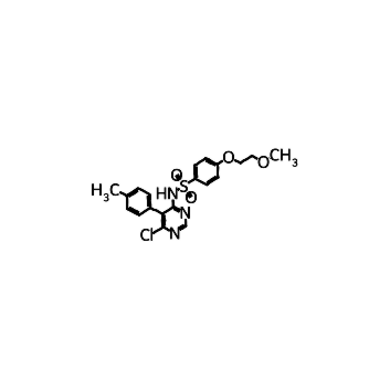 COCCOc1ccc(S(=O)(=O)Nc2ncnc(Cl)c2-c2ccc(C)cc2)cc1